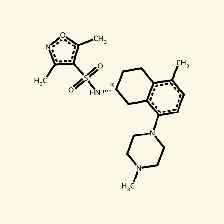 Cc1ccc(N2CCN(C)CC2)c2c1CC[C@@H](NS(=O)(=O)c1c(C)noc1C)C2